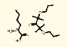 CCCC[C@H](N)C(=O)O.CCCOC(C)(C)C(=O)C(C)(C)OCCC